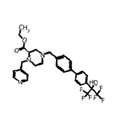 CCOC(=O)[C@H]1CN(Cc2ccc(-c3ccc(C(O)(C(F)(F)F)C(F)(F)F)cc3)cc2)CCN1Cc1ccncc1